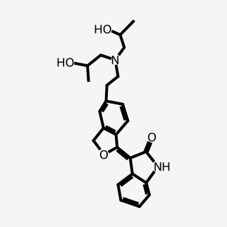 CC(O)CN(CCc1ccc2c(c1)COC2=C1C(=O)Nc2ccccc21)CC(C)O